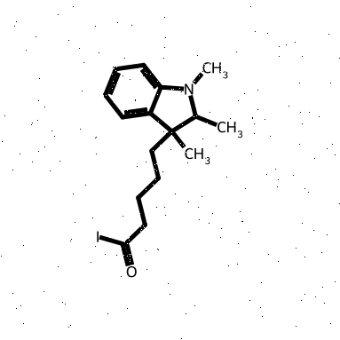 CC1N(C)c2ccccc2C1(C)CCCCC(=O)I